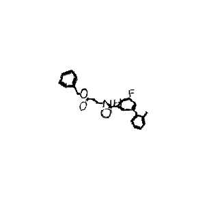 Cc1ccccc1-c1cc(F)cc(C(=O)NCCC(=O)OCc2ccccc2)c1